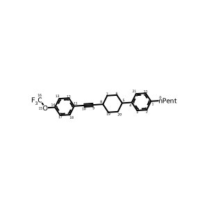 CCCCCc1ccc(C2CCC(C#Cc3ccc(OC(F)(F)F)cc3)CC2)cc1